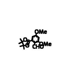 COc1cc(OC)c(C=O)c(B2OC(C)(C)C(C)(C)O2)c1